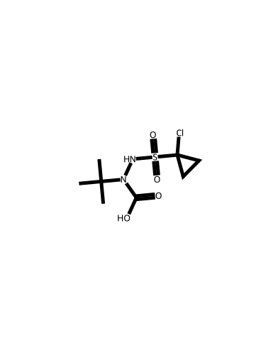 CC(C)(C)N(NS(=O)(=O)C1(Cl)CC1)C(=O)O